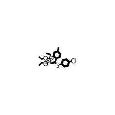 CCO[Si](/C=C(/Sc1ccc(Cl)cc1)c1ccc(C)cc1)(OCC)OCC